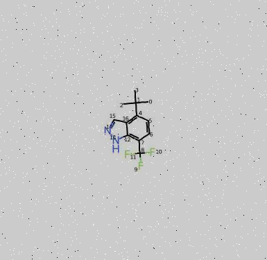 CC(C)(C)c1ccc(C(F)(F)F)c2[nH]ncc12